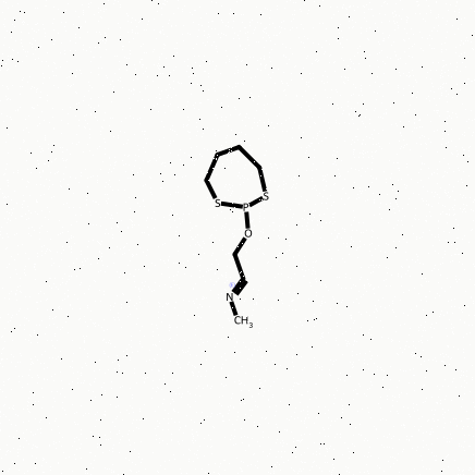 C/N=C/COP1SCCCCS1